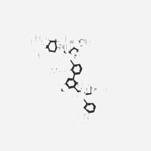 COc1c(CN2O[C@@H](CO)[C@@H]([C@H](C)O)[C@H]2C(=O)N[C@H]2C[C@@H](C)C(C)(C)[C@@H](C)[C@@H]2C)cccc1-c1cc2c(c(C(=O)N[C@@H](Cc3cccc(N)c3)CN(C)C)c1)OCO2